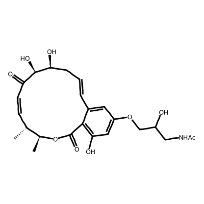 CC(=O)NCC(O)COc1cc(O)c2c(c1)/C=C/C[C@H](O)[C@H](O)C(=O)/C=C\[C@@H](C)[C@H](C)OC2=O